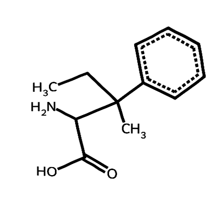 CCC(C)(c1ccccc1)C(N)C(=O)O